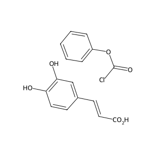 O=C(Cl)Oc1ccccc1.O=C(O)C=Cc1ccc(O)c(O)c1